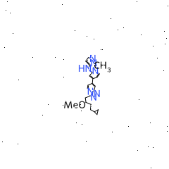 COC(CCC1CC1)Cc1nnc2cc(-c3ccnc(Nc4ccnn4C)c3)ccn12